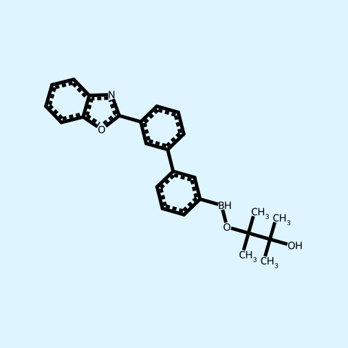 CC(C)(O)C(C)(C)OBc1cccc(-c2cccc(-c3nc4ccccc4o3)c2)c1